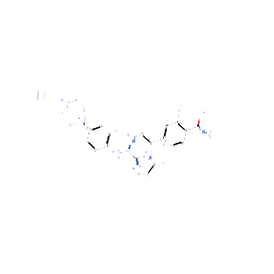 CN1CCN(c2ccc(Nc3ncc(-c4ccc(C(N)=O)c(F)c4)n4ccnc34)cc2)CC1